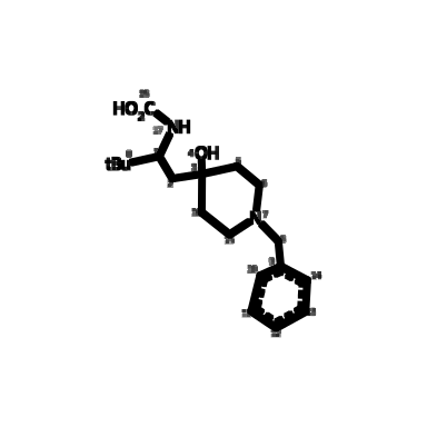 CC(C)(C)C(CC1(O)CCN(Cc2ccccc2)CC1)NC(=O)O